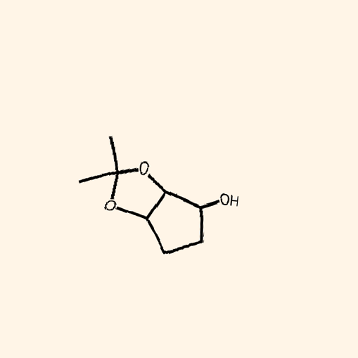 CC1(C)OC2CCC(O)C2O1